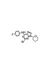 Fc1ccc(Nc2nc(Br)nc3c2ncn3C2CCCCO2)cc1